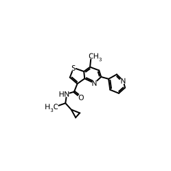 Cc1cc(-c2cccnc2)nc2c(C(=O)NC(C)C3CC3)csc12